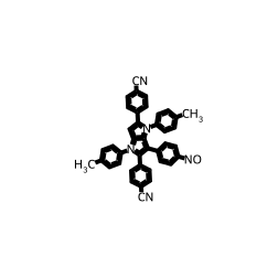 Cc1ccc(-n2c(-c3ccc(C#N)cc3)c(-c3ccc(N=O)cc3)c3c2cc(-c2ccc(C#N)cc2)n3-c2ccc(C)cc2)cc1